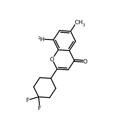 [2H]c1cc(C)cc2c(=O)cc(C3CCC(F)(F)CC3)oc12